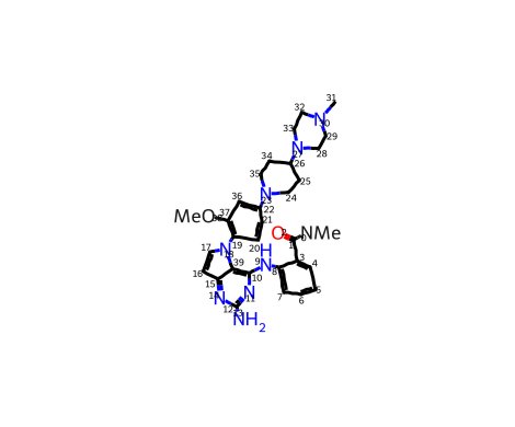 CNC(=O)c1ccccc1Nc1nc(N)nc2ccn(-c3ccc(N4CCC(N5CCN(C)CC5)CC4)cc3OC)c12